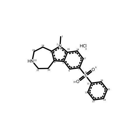 Cl.Cn1c2c(c3cc(S(=O)(=O)c4ccccc4)ccc31)CCNCC2